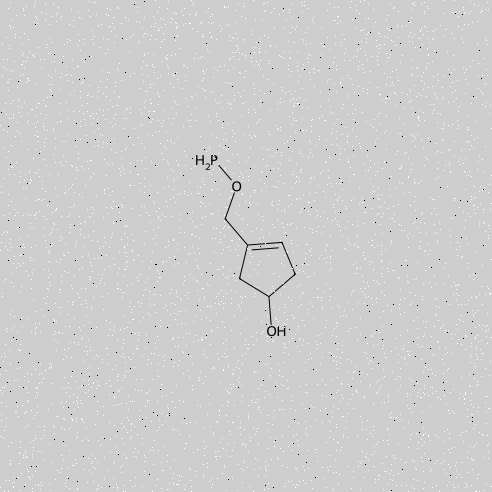 OC1CC=C(COP)C1